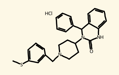 CSc1cccc(CN2CCC(N3C(=O)Nc4ccccc4C3c3ccccc3)CC2)c1.Cl